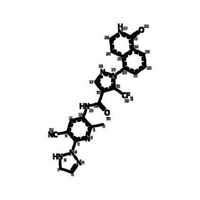 Cc1nc(N2N=CCN2)c(C#N)cc1NC(=O)c1cnn(-c2cccc3c(=O)[nH]ccc23)c1C(F)(F)F